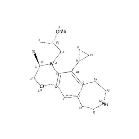 CO[C@@H](C)CN1c2c(cc3c(c2C2CC2)CCNCC3)OC[C@H]1C